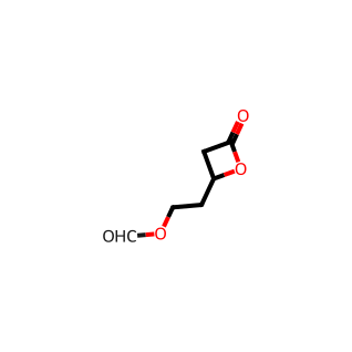 O=COCCC1CC(=O)O1